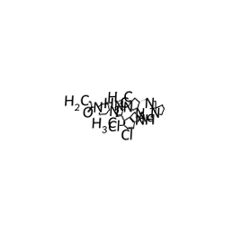 C=CC(=O)N1CCC(n2nc(N3CC[C@@H](CN4CC5(CCCN5C(C)=O)C4)CC3(C)C)c(-c3c(Cl)c(Cl)cc4[nH]ncc34)c2C)CC1